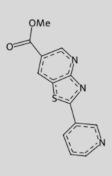 COC(=O)c1cnc2nc(-c3cccnc3)sc2c1